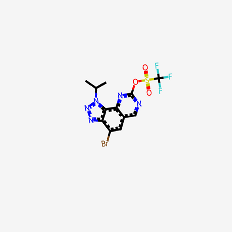 CC(C)n1nnc2c(Br)cc3cnc(OS(=O)(=O)C(F)(F)F)nc3c21